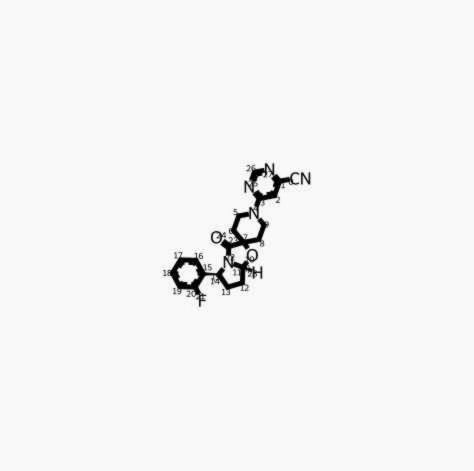 N#Cc1cc(N2CCC3(CC2)O[C@@H]2CC[C@@H](c4ccccc4F)N2C3=O)ncn1